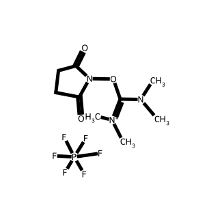 CN(C)C(ON1C(=O)CCC1=O)=[N+](C)C.F[P-](F)(F)(F)(F)F